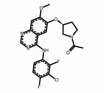 COc1cc2ncnc(Nc3ccc(F)c(Cl)c3F)c2cc1O[C@H]1CCN(C(C)=O)C1